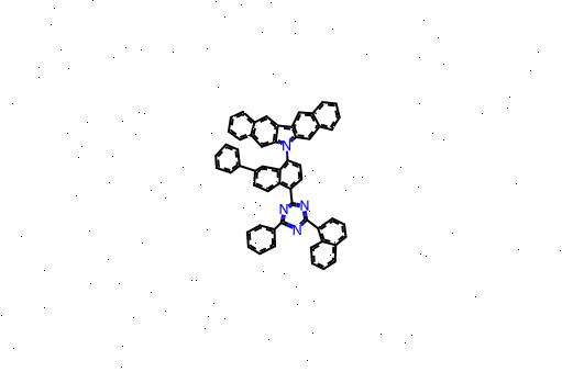 c1ccc(-c2ccc3c(-c4nc(-c5ccccc5)nc(-c5cccc6ccccc56)n4)ccc(-n4c5cc6ccccc6cc5c5cc6ccccc6cc54)c3c2)cc1